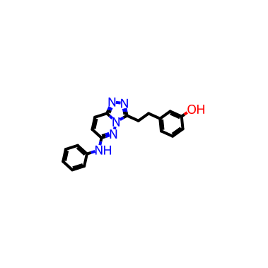 Oc1cccc(CCc2nnc3ccc(Nc4ccccc4)nn23)c1